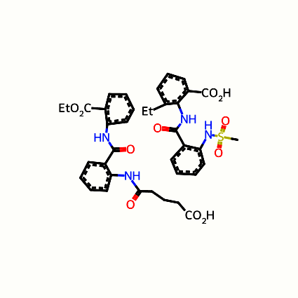 CCOC(=O)c1ccccc1NC(=O)c1ccccc1NC(=O)CCCC(=O)O.CCc1cccc(C(=O)O)c1NC(=O)c1ccccc1NS(C)(=O)=O